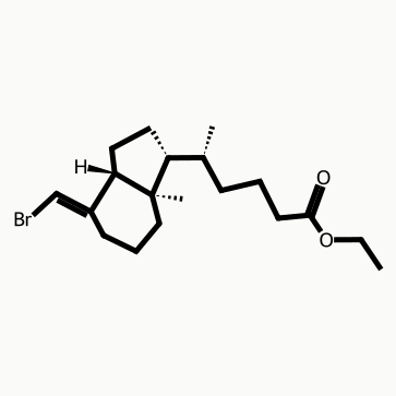 CCOC(=O)CCC[C@@H](C)[C@H]1CC[C@H]2/C(=C/Br)CCC[C@]12C